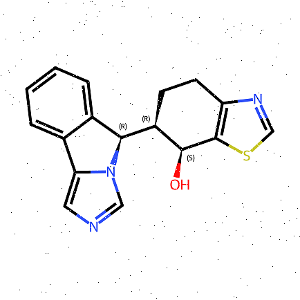 O[C@@H]1c2scnc2CC[C@@H]1[C@@H]1c2ccccc2-c2cncn21